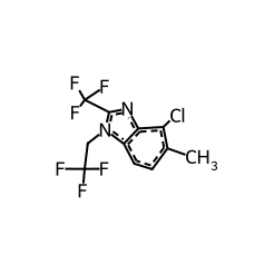 Cc1ccc2c(nc(C(F)(F)F)n2CC(F)(F)F)c1Cl